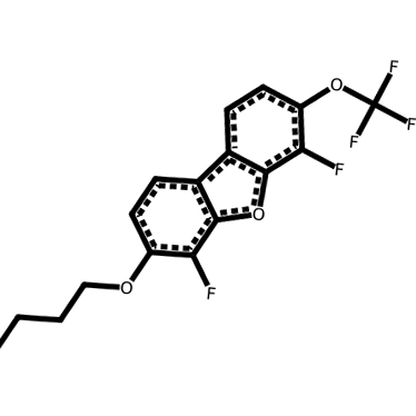 CCCCOc1ccc2c(oc3c(F)c(OC(F)(F)F)ccc32)c1F